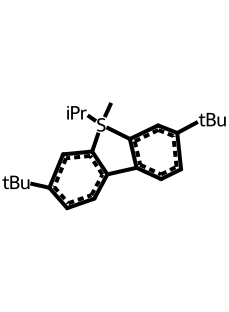 CC(C)S1(C)c2cc(C(C)(C)C)ccc2-c2ccc(C(C)(C)C)cc21